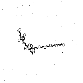 CCC[C@@H](NC(=O)CCSC1CC(=O)N(CCC=O)C1=O)C(=O)NCCOCCOCCOCCOCCC=O